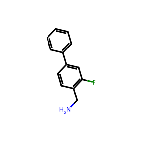 NCc1ccc(-c2ccccc2)cc1F